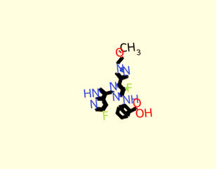 COCCn1cc(-c2nc(-c3c[nH]c4ncc(F)cc34)nc(NC3C4CCC(CC4)C3C(=O)O)c2F)cn1